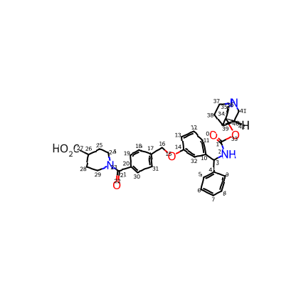 O=C(NC(c1ccccc1)c1cccc(OCc2ccc(C(=O)N3CCC(C(=O)O)CC3)cc2)c1)O[C@H]1CN2CCC1CC2